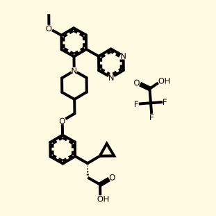 COc1ccc(-c2cncnc2)c(N2CCC(COc3cccc([C@@H](CC(=O)O)C4CC4)c3)CC2)c1.O=C(O)C(F)(F)F